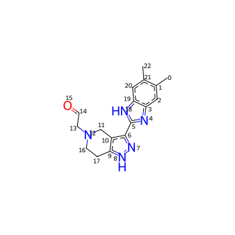 Cc1cc2nc(-c3n[nH]c4c3CN(CC=O)CC4)[nH]c2cc1C